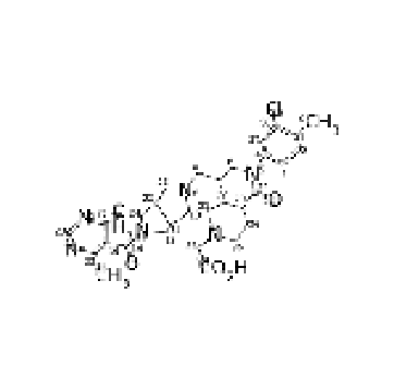 Cc1ccc(N(CCCN2CC3CN(C(=O)c4c(C)ncnc4C)CC3C2)C(=O)C2CCN(CC(=O)O)CC2)cc1Cl